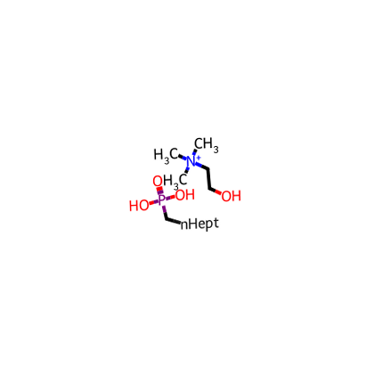 CCCCCCCCP(=O)(O)O.C[N+](C)(C)CCO